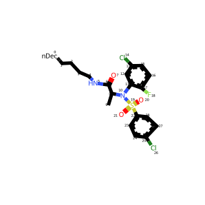 CCCCCCCCCCCCCCNC(=O)C(C)N(c1cc(Cl)ccc1F)S(=O)(=O)c1ccc(Cl)cc1